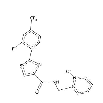 O=C(NCc1cccc[n+]1[O-])c1csc(-c2ccc(C(F)(F)F)cc2F)n1